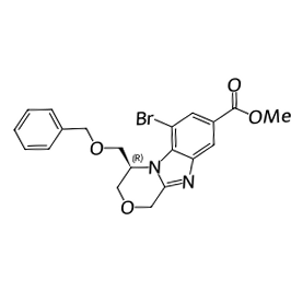 COC(=O)c1cc(Br)c2c(c1)nc1n2[C@H](COCc2ccccc2)COC1